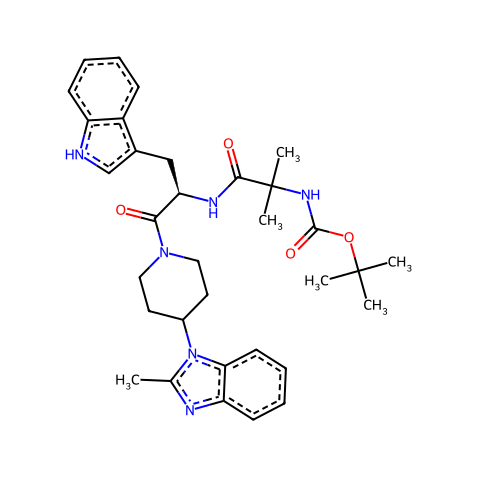 Cc1nc2ccccc2n1C1CCN(C(=O)[C@@H](Cc2c[nH]c3ccccc23)NC(=O)C(C)(C)NC(=O)OC(C)(C)C)CC1